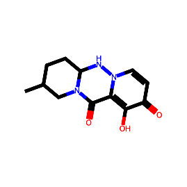 CC1CCC2Nn3ccc(=O)c(O)c3C(=O)N2C1